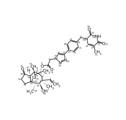 C=C[C@]1(C)C[C@@H](OC(=O)Cn2cc(-c3ccc(Cn4cc(C)c(=O)[nH]c4=O)cc3)nn2)[C@]2(C)C(C)CC[C@]3(CCC(=O)[C@H]32)[C@@H](C)[C@@H]1O